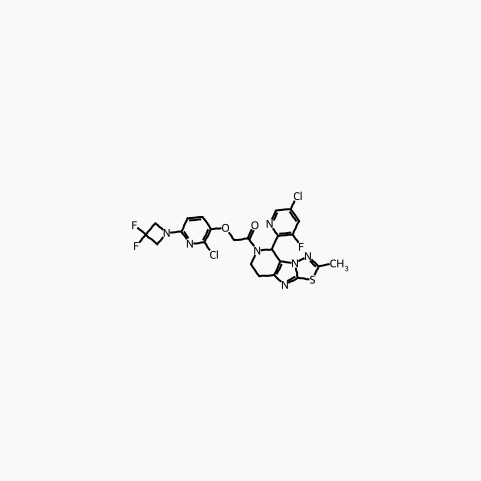 Cc1nn2c3c(nc2s1)CCN(C(=O)COc1ccc(N2CC(F)(F)C2)nc1Cl)C3c1ncc(Cl)cc1F